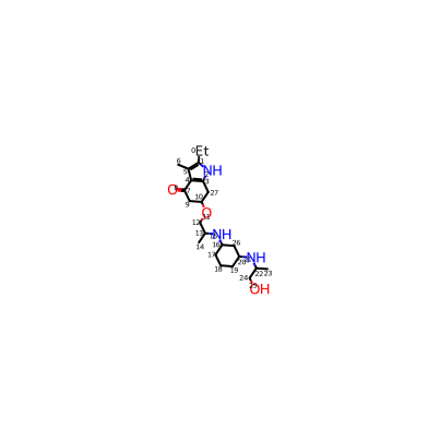 CCc1[nH]c2c(c1C)C(=O)CC(OCC(C)NC1CCCC(NC(C)CO)C1)C2